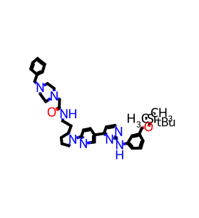 CC(C)(C)[Si](C)(C)OCc1cccc(Nc2nccc(-c3ccc(N4CCCC4CCNC(=O)CN4CCN(Cc5ccccc5)CC4)nc3)n2)c1